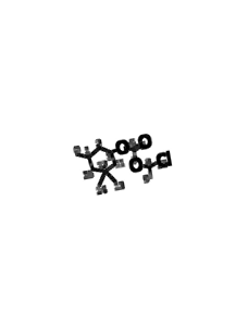 CC1CC(OC(=O)OC(C)Cl)CC(C)(C)C1